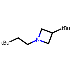 CC(C)(C)CCN1CC(C(C)(C)C)C1